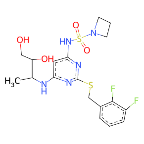 CC(Nc1cc(NS(=O)(=O)N2CCC2)nc(SCc2cccc(F)c2F)n1)C(O)CO